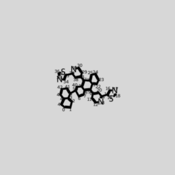 c1ccc2c(-c3ccc4c(-c5ccnc(-c6cncs6)c5)c5ccccc5c(-c5ccnc(-c6cncs6)c5)c4c3)cccc2c1